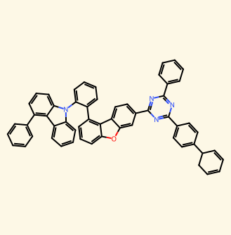 C1=CCC(c2ccc(-c3nc(-c4ccccc4)nc(-c4ccc5c(c4)oc4cccc(-c6ccccc6-n6c7ccccc7c7c(-c8ccccc8)cccc76)c45)n3)cc2)C=C1